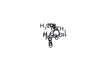 C/C(=C\c1cc(F)cc(N2CCOCC2)c1)C1OC(=O)CC(O)CCC(C)C(OC(=O)N2CCC23CCN(C)CC3)C=CC1C